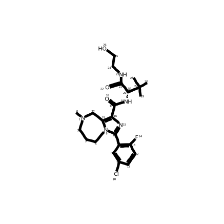 CN1CCCn2c(-c3cc(Cl)ccc3F)nc(C(=O)N[C@H](C(=O)NCCO)C(C)(C)C)c2C1